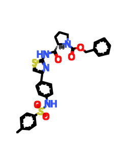 Cc1ccc(S(=O)(=O)Nc2ccc(-c3csc(NC(=O)[C@@H]4CCCN4C(=O)OCc4ccccc4)n3)cc2)cc1